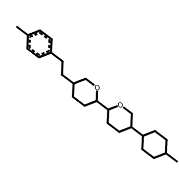 Cc1ccc(CCC2CCC(C3CCC(C4CCC(C)CC4)CO3)OC2)cc1